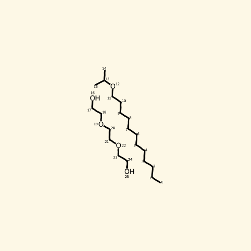 CCCCCCCCCCCCOC(C)C.OCCOCCOCCO